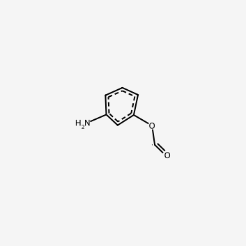 Nc1cccc(O[C]=O)c1